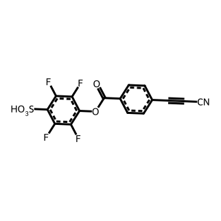 N#CC#Cc1ccc(C(=O)Oc2c(F)c(F)c(S(=O)(=O)O)c(F)c2F)cc1